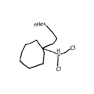 CCCCCCCC1([SiH](Cl)Cl)CCCCC1